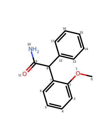 COc1ccccc1C(C(N)=O)c1ccccc1